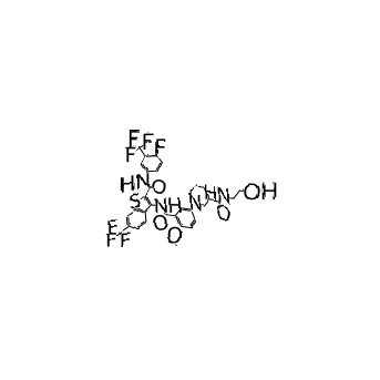 COc1ccc(N2CCCC(C(=O)NCCO)C2)cc1C(=O)Nc1c(C(=O)Nc2ccc(F)c(C(F)(F)F)c2)sc2cc(C(F)(F)F)ccc12